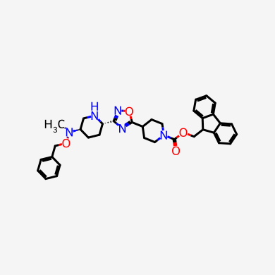 CN(OCc1ccccc1)[C@@H]1CC[C@@H](c2noc(C3CCN(C(=O)OCC4c5ccccc5-c5ccccc54)CC3)n2)NC1